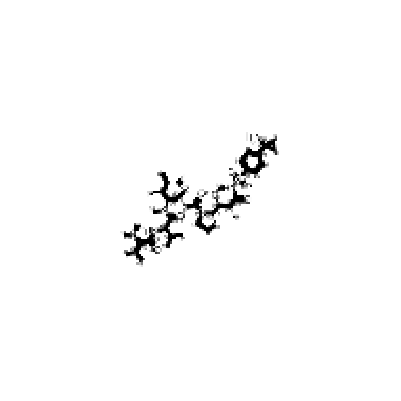 CC[C@H](C)[C@@H]([C@@H](CC(=O)N1CCC[C@H]1[C@H](OC)[C@@H](C)C(=O)NS(=O)(=O)c1ccc(C2(N)CC2)cc1)OC)N(C)C(=O)C(NC(=O)C(C(C)C)N(C)C)C(C)C